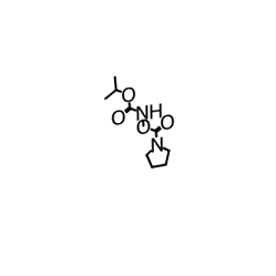 CC(C)OC(=O)NOC(=O)N1CCCC1